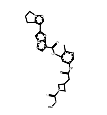 Cc1ncc(NC(=O)CC2CN(C(=O)OC(C)(C)C)C2)cc1NC(=O)c1cnn2cc(-c3cnn4c3CCC4)sc12